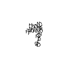 CC(NC(=O)c1ncc2c(n1)N(C(=O)Nc1cnc(OCC3COC(C)(C)O3)cn1)[C@H]1CCCN2C1)C(F)(F)F